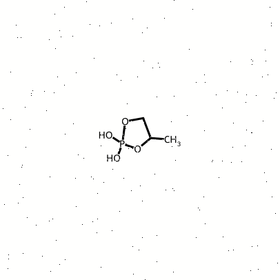 CC1CO[P](O)(O)O1